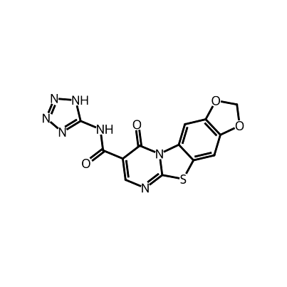 O=C(Nc1nnn[nH]1)c1cnc2sc3cc4c(cc3n2c1=O)OCO4